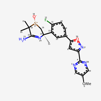 COc1cnc(-c2cc(-c3ccc(F)c([C@]4(C)C[S@@+]([O-])C(C)(C)C(N)=N4)c3)on2)nc1